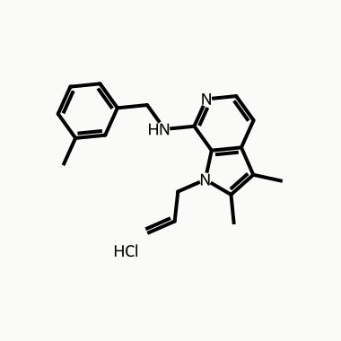 C=CCn1c(C)c(C)c2ccnc(NCc3cccc(C)c3)c21.Cl